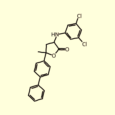 CC1(c2ccc(-c3ccccc3)cc2)CC(Nc2cc(Cl)cc(Cl)c2)C(=O)O1